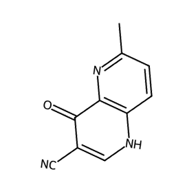 Cc1ccc2[nH]cc(C#N)c(=O)c2n1